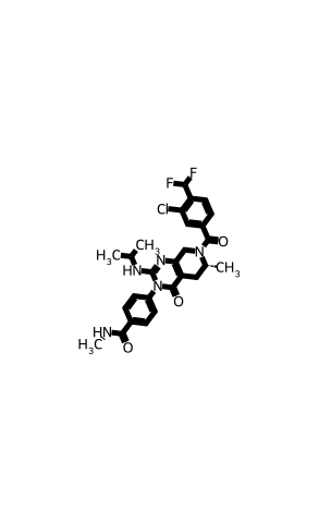 CNC(=O)c1ccc(-n2c(NC(C)C)nc3c(c2=O)C[C@@H](C)N(C(=O)c2ccc(C(F)F)c(Cl)c2)C3)cc1